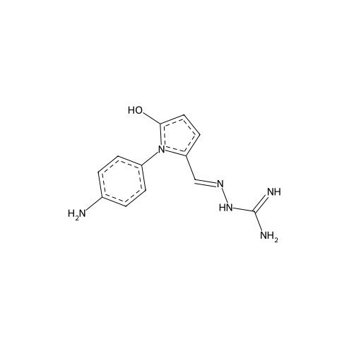 N=C(N)NN=Cc1ccc(O)n1-c1ccc(N)cc1